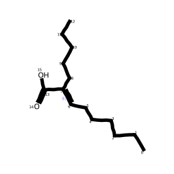 CCCCCC/C=C(\CCCCC)C(=O)O